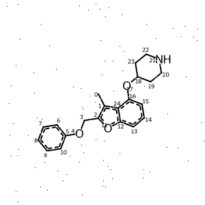 Cc1c(COc2ccccc2)oc2cccc(OC3CCNCC3)c12